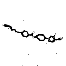 N#C/C=C/CCC1CCC(C(=O)OC2CCC(c3ccc(C#N)c(F)c3)CC2)CC1